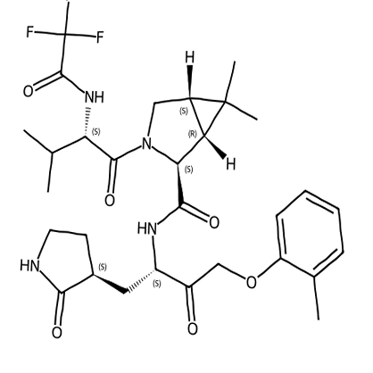 Cc1ccccc1OCC(=O)[C@H](C[C@@H]1CCNC1=O)NC(=O)[C@@H]1[C@@H]2[C@H](CN1C(=O)[C@@H](NC(=O)C(F)(F)F)C(C)C)C2(C)C